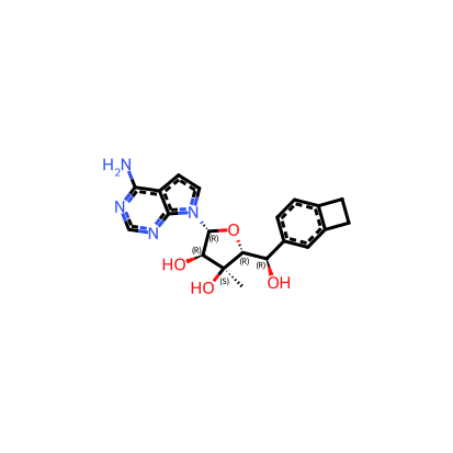 C[C@@]1(O)[C@@H]([C@H](O)c2ccc3c(c2)CC3)O[C@@H](n2ccc3c(N)ncnc32)[C@@H]1O